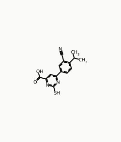 CC(C)c1ccc(-c2cc(C(=O)O)nc(S)n2)cc1C#N